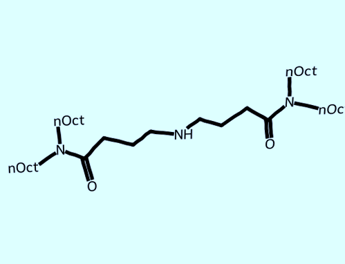 CCCCCCCCN(CCCCCCCC)C(=O)CCCNCCCC(=O)N(CCCCCCCC)CCCCCCCC